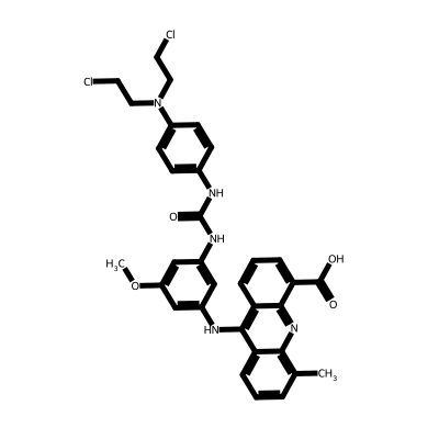 COc1cc(NC(=O)Nc2ccc(N(CCCl)CCCl)cc2)cc(Nc2c3cccc(C)c3nc3c(C(=O)O)cccc23)c1